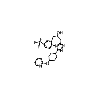 OC1Cc2cc(C(F)(F)F)ccc2-n2c(nnc2C2CCC(Oc3ccccn3)CC2)C1